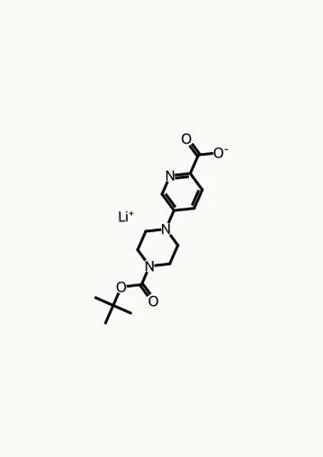 CC(C)(C)OC(=O)N1CCN(c2ccc(C(=O)[O-])nc2)CC1.[Li+]